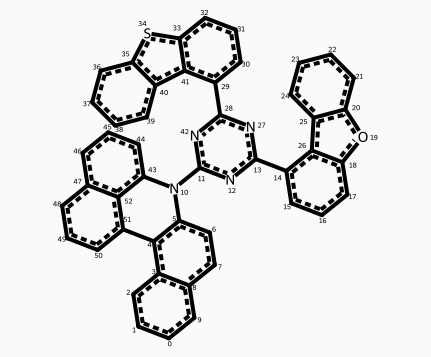 c1ccc2c3c(ccc2c1)N(c1nc(-c2cccc4oc5ccccc5c24)nc(-c2cccc4sc5ccccc5c24)n1)c1cccc2cccc-3c12